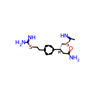 CC(=N)SC[C@H](CC(N)=O)c1ccc(CCSC(=N)N)cc1